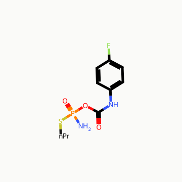 CCCSP(N)(=O)OC(=O)Nc1ccc(F)cc1